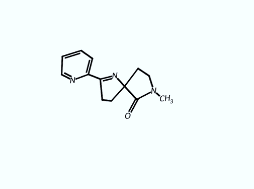 CN1CCC2(CCC(c3ccccn3)=N2)C1=O